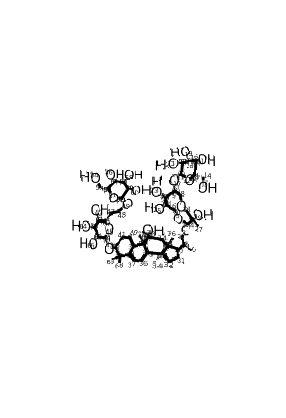 C[C@H](CC[C@@H](O[C@@H]1OC[C@@H](O[C@H]2O[C@@H](CO)[C@H](O)[C@@H](O)[C@@H]2O)[C@H](O)[C@H]1O)C(C)(C)O)C1CC[C@@]2(C)C3CC=C4C(CC[C@H](O[C@@H]5O[C@H](CCO[C@@H]6O[C@H](CO)[C@@H](O)[C@H](O)[C@H]6O)[C@@H](O)[C@H](O)[C@H]5O)C4(C)C)[C@]3(C)[C@H](O)C[C@]12C